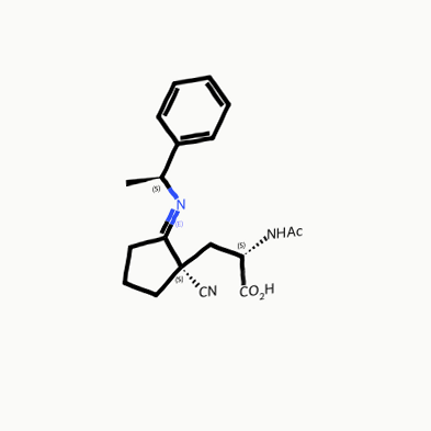 CC(=O)N[C@@H](C[C@@]1(C#N)CCC/C1=N\[C@@H](C)c1ccccc1)C(=O)O